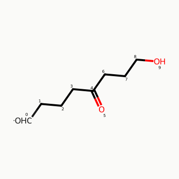 O=[C]CCCC(=O)CCCO